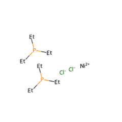 CCP(CC)CC.CCP(CC)CC.[Cl-].[Cl-].[Ni+2]